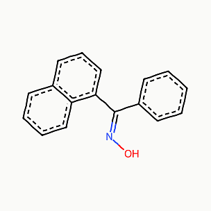 ON=C(c1ccccc1)c1cccc2ccccc12